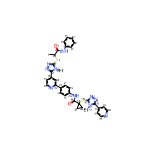 CCn1c(SC(C)C(=O)Nc2ccccc2)nnc1-c1ccnc(-c2ccc(NC(=O)C3(Sc4nnc(-c5ccncc5)n4CC)CC3)cc2)c1